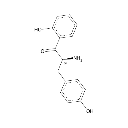 N[C@@H](Cc1ccc(O)cc1)C(=O)c1ccccc1O